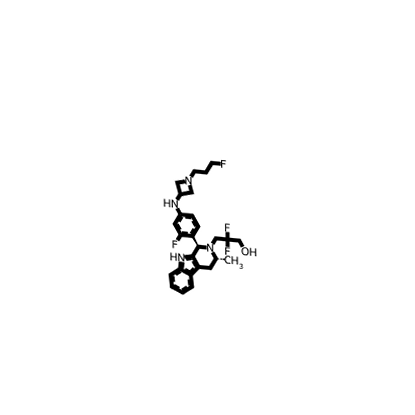 C[C@@H]1Cc2c([nH]c3ccccc23)[C@@H](c2ccc(NC3CN(CCCF)C3)cc2F)N1CC(F)(F)CO